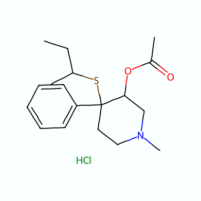 CCC(C)SC1(c2ccccc2)CCN(C)CC1OC(C)=O.Cl